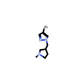 CC(C)c1cnn(CC2CCN(C)C2)c1